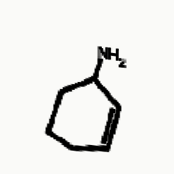 NC1C=CCCC1